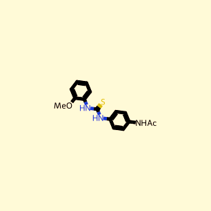 COc1ccccc1NC(=S)Nc1ccc(NC(C)=O)cc1